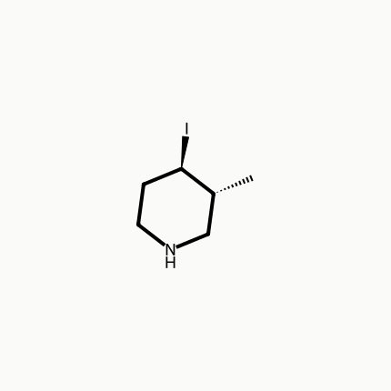 C[C@@H]1CNCC[C@H]1I